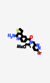 COC[C@@H](C)N(Cc1ccc(Br)nn1)C(=O)c1ccc2nc(N)c3sccc3c2c1